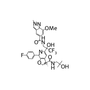 COc1cc(C(=O)NCC(O)(c2cc3c(c(-c4ccc(F)cc4)n2)OC[C@]3(C)C(=O)NCC(C)(C)O)C(F)(F)F)cc2cn(C)nc12